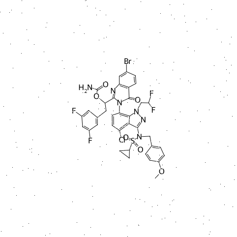 COc1ccc(CN(c2nn(CC(F)F)c3c(-n4c(C(Cc5cc(F)cc(F)c5)OC(N)=O)nc5cc(Br)ccc5c4=O)ccc(Cl)c23)S(=O)(=O)C2CC2)cc1